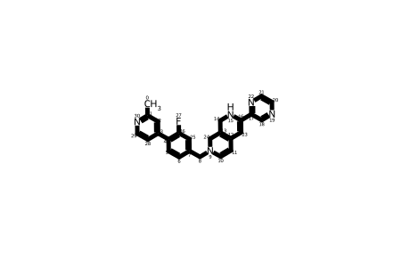 Cc1cc(-c2ccc(CN3C=CC4=C(CNC(c5cnccn5)=C4)C3)cc2F)ccn1